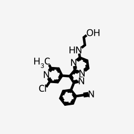 Cc1cc(-c2c(-c3ccccc3C#N)nn3ccc(NCCO)nc23)cc(Cl)n1